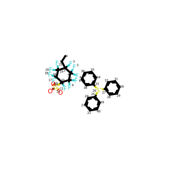 CCC1(F)C(F)(F)C(F)(F)C(F)(S(=O)(=O)[O-])C(F)(F)C1(F)F.c1ccc([S+](c2ccccc2)c2ccccc2)cc1